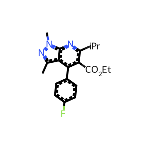 CCOC(=O)c1c(C(C)C)nc2c(c(C)nn2C)c1-c1ccc(F)cc1